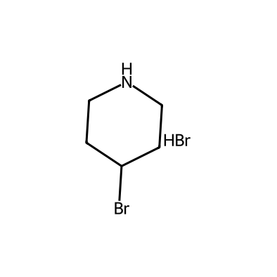 Br.BrC1CCNCC1